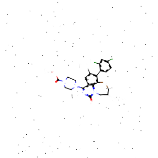 CO[C@@H]1CSc2c(-c3ccc(F)cc3F)c(C(F)(F)F)cc3c(N4CCN(C(=O)OC(C)(C)C)C[C@@H]4C)nc(=O)n(c23)C1